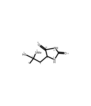 CSC(C)(S)CC1NC(=O)NC1=O